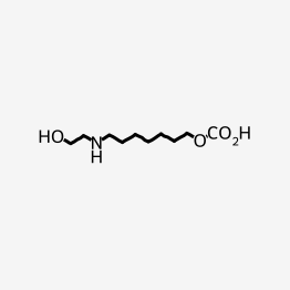 O=C(O)OCCCCCCCNCCO